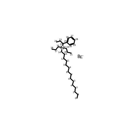 CCCCCCCCCCCCCCC[N+](CCC)(CCC)C(CC)c1ccccc1.[Br-]